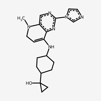 CN1CC=C(NC2CCC(C3(O)CC3)CC2)c2nc(-n3ccnc3)ncc21